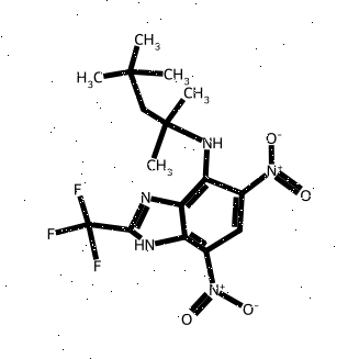 CC(C)(C)CC(C)(C)Nc1c([N+](=O)[O-])cc([N+](=O)[O-])c2[nH]c(C(F)(F)F)nc12